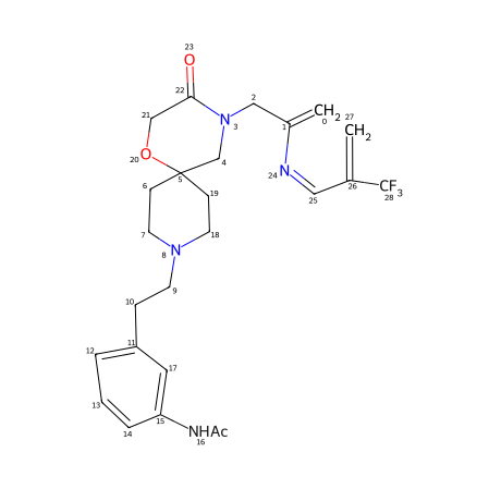 C=C(CN1CC2(CCN(CCc3cccc(NC(C)=O)c3)CC2)OCC1=O)/N=C\C(=C)C(F)(F)F